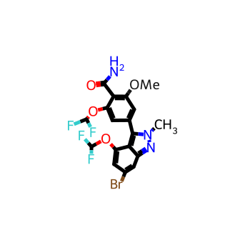 COc1cc(-c2c3c(OC(F)F)cc(Br)cc3nn2C)cc(OC(F)F)c1C(N)=O